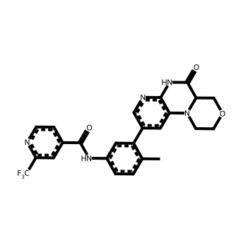 Cc1ccc(NC(=O)c2ccnc(C(F)(F)F)c2)cc1-c1cnc2c(c1)N1CCOCC1C(=O)N2